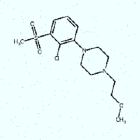 COCCN1CCN(c2cccc(S(C)(=O)=O)c2Cl)CC1